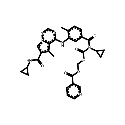 Cc1ccc(C(=O)N(C(=O)OCOC(=O)c2cccnc2)C2CC2)cc1Nc1ncnn2cc(C(=O)NC3CC3)c(C)c12